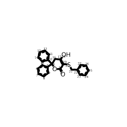 O=C1OC(c2ccccc2)(c2ccccc2)CC(O)=C1SCc1ccccc1